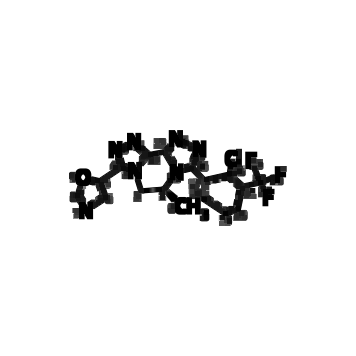 C[C@H]1Cn2c(-c3cnco3)nnc2-c2nnc(-c3cccc(C(F)(F)F)c3Cl)n21